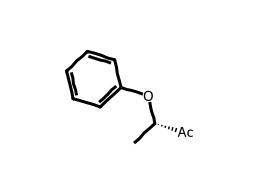 CC(=O)[C@H](C)Oc1ccccc1